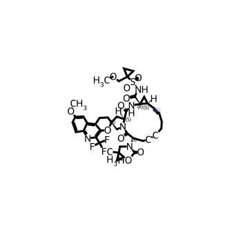 COCC1(S(=O)(=O)NC(=O)[C@@]23C[C@H]2/C=C\CCCCC[C@H](N(CC2(C)CC2)C(=O)O)C(=O)N2C[C@@]4(CCc5c(c(C(F)(F)F)nc6ccc(OC)cc56)O4)C[C@H]2C(=O)N3)CC1